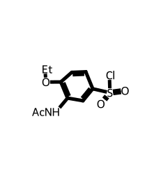 CCOc1ccc(S(=O)(=O)Cl)cc1NC(C)=O